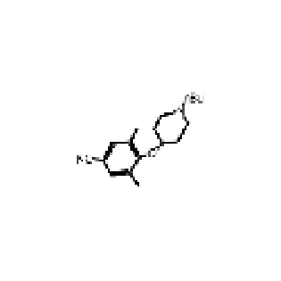 CCCCN1CCC(Oc2c(C)cc(C#N)cc2C)CC1